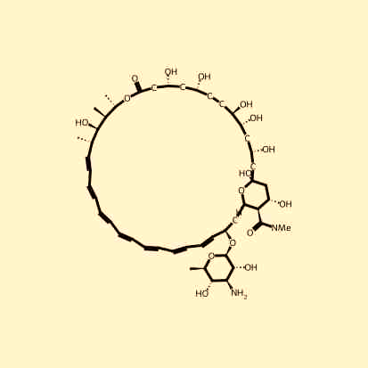 CNC(=O)[C@H]1[C@@H]2C[C@@H](O[C@@H]3O[C@H](C)[C@@H](O)[C@H](N)[C@H]3O)/C=C/C=C/C=C/C=C/C=C/C=C/C=C/[C@H](C)[C@@H](O)[C@@H](C)[C@H](C)OC(=O)C[C@H](O)C[C@H](O)CC[C@@H](O)[C@H](O)C[C@H](O)C[C@](O)(C[C@@H]1O)O2